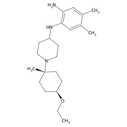 CCO[C@H]1CC[C@](C)(N2CCC(Nc3cc(C)c(C)cc3N)CC2)CC1